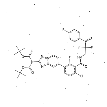 CC(C)(C)OC(=O)N(C(=O)OC(C)(C)C)c1nc2cc(-c3ccc(Cl)c(C(=O)NCC(F)(F)C(=O)c4ccc(F)cc4)c3F)ccn2n1